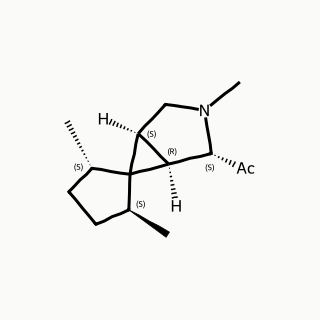 CC(=O)[C@@H]1[C@@H]2[C@H](CN1C)C21[C@@H](C)CC[C@@H]1C